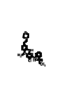 CCS(=O)(=O)c1ccccc1Nc1nc(Nc2cc(CCN3CCOCC3)ccc2OC)ncc1Cl